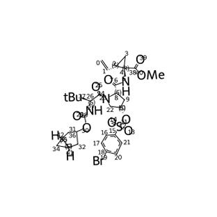 C=C[C@@H]1C[C@]1(NC(=O)[C@@H]1C[C@H](OS(=O)(=O)c2ccc(Br)cc2)CN1C(=O)[C@@H](NC(=O)OC1C[C@@H]2C[C@@H]2C1)C(C)(C)C)C(=O)OC